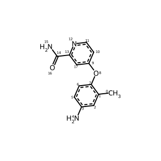 Cc1cc(N)ccc1Oc1ccnc(C(N)=O)c1